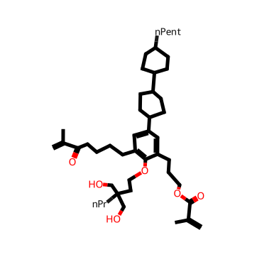 C=C(C)C(=O)CCCCc1cc(C2CCC(C3CCC(CCCCC)CC3)CC2)cc(CCCOC(=O)C(=C)C)c1OCCC(CO)(CO)CCC